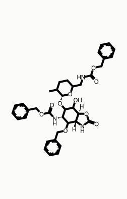 CC1CCC(CNC(=O)OCc2ccccc2)O[C@@H]1OC1C(O)[C@H]2OC(=O)N[C@@H]2C(OCc2ccccc2)[C@@H]1NC(=O)OCc1ccccc1